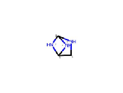 C1NC2NC1N2